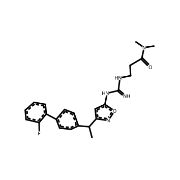 CC(c1ccc(-c2ccccc2F)cc1)c1cc(NC(=N)NCCC(=O)N(C)C)on1